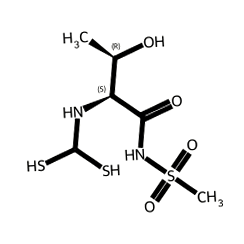 C[C@@H](O)[C@H](NC(S)S)C(=O)NS(C)(=O)=O